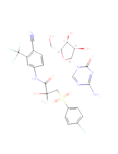 CC(O)(CS(=O)(=O)c1ccc(F)cc1)C(=O)Nc1ccc(C#N)c(C(F)(F)F)c1.Nc1ncn([C@@H]2O[C@H](CO)[C@@H](O)[C@H]2O)c(=O)n1